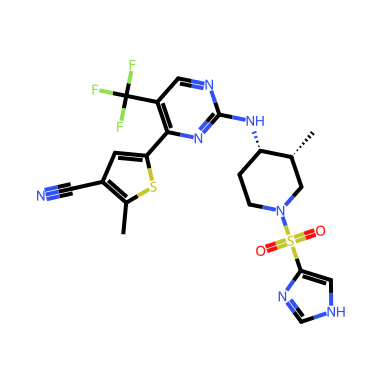 Cc1sc(-c2nc(N[C@H]3CCN(S(=O)(=O)c4c[nH]cn4)C[C@H]3C)ncc2C(F)(F)F)cc1C#N